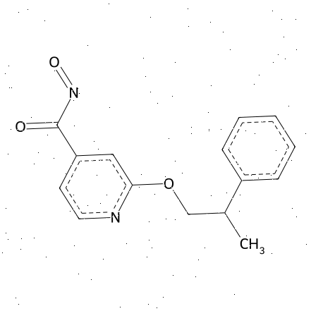 CC(COc1cc(C(=O)N=O)ccn1)c1ccccc1